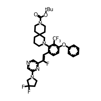 CC(C)(C)OC(=O)N1CCC2(CCCN(c3c(/C=C(\F)c4cncc(N5CCC(F)(F)C5)n4)ccc(Oc4ccccc4)c3C(F)(F)F)C2)CC1